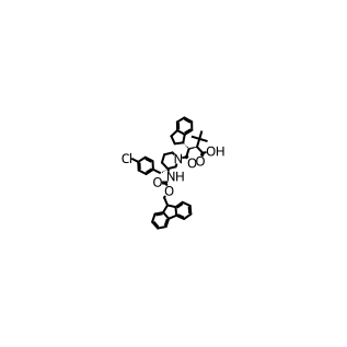 CC(C)(C)[C@@H](C(=O)O)C(C(=O)N1CCC[C@](Cc2ccc(Cl)cc2)(NC(=O)OCC2c3ccccc3-c3ccccc32)C1)[C@@H]1CCc2ccccc21